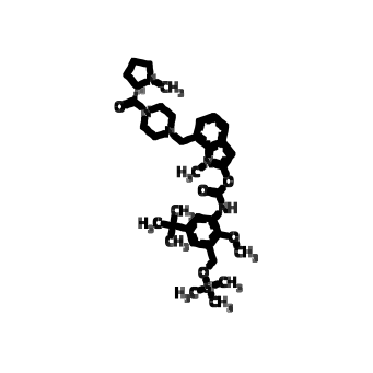 COc1c(CO[Si](C)(C)C)cc(C(C)(C)C)cc1NC(=O)Oc1cc2cccc(CN3CCN(C(=O)[C@@H]4CCCN4C)CC3)c2n1C